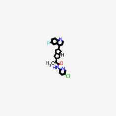 C[C@H](C(=O)Nc1ccc(Cl)cn1)C1CC2CC(c3ccnc4ccc(F)cc34)C[C@H]2C1